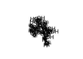 CCC1CC(C(=O)NCCNC(=O)C2CC(n3cc(-c4cc(F)c(F)c(F)c4)nn3)C(O)[C@H](O[C@@H]3OC(CO)[C@H](O)C(n4cc(-c5cc(F)c(F)c(F)c5)nn4)C3O)C2)C[C@@H](O[C@@H]2OC(CO)[C@H](O)C(O[C@@H](CC3CCCCC3)C(=O)N3CCC3)C2OC(=O)c2ccccc2)C1O[C@@H]1OC(C)[C@@H](O)C(O)C1O